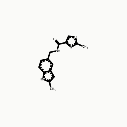 Cc1cc2cc(CNC(=O)c3coc(C)n3)ccc2[nH]1